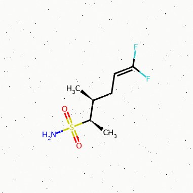 C[C@H]([C@@H](C)CC=C(F)F)S(N)(=O)=O